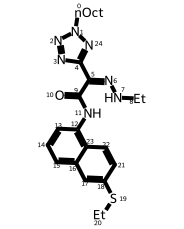 CCCCCCCCn1nnc(C(=NNCC)C(=O)Nc2cccc3cc(SCC)ccc23)n1